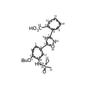 CC(C)COc1ccc(-c2nc(-c3ccccc3C(=O)O)no2)cc1NS(C)(=O)=O